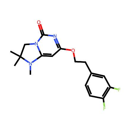 CN1c2cc(OCCc3ccc(F)c(F)c3)nc(=O)n2CC1(C)C